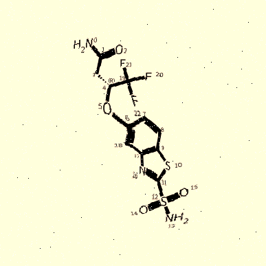 NC(=O)C[C@@H](Oc1ccc2sc(S(N)(=O)=O)nc2c1)C(F)(F)F